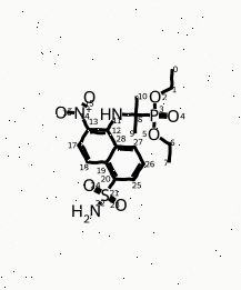 CCOP(=O)(OCC)C(C)(C)Nc1c([N+](=O)[O-])ccc2c(S(N)(=O)=O)cccc12